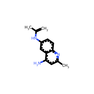 C=C(C)Nc1ccc2nc(C)cc(N)c2c1